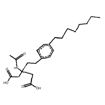 CCCCCCCCc1ccc(CCC(CC(=O)O)(CC(=O)O)NC(C)=O)cc1